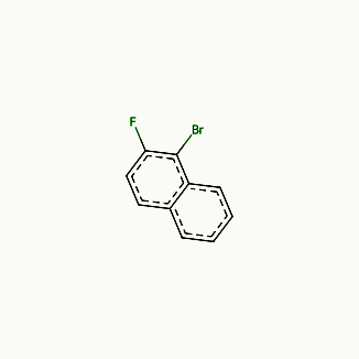 Fc1ccc2ccccc2c1Br